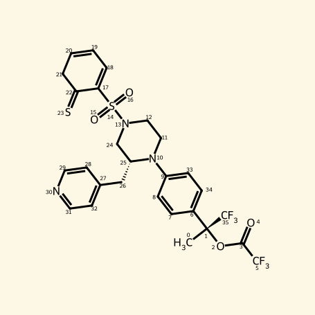 C[C@@](OC(=O)C(F)(F)F)(c1ccc(N2CCN(S(=O)(=O)C3=CC=CCC3=S)C[C@H]2Cc2ccncc2)cc1)C(F)(F)F